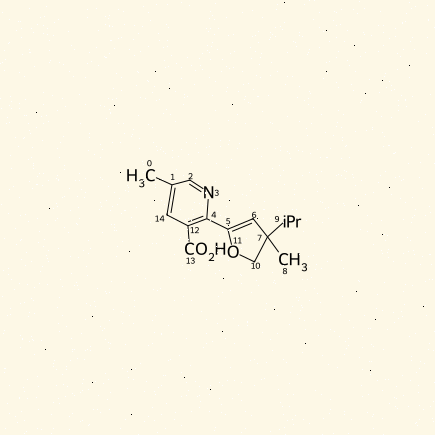 Cc1cnc(C2=CC(C)(C(C)C)CO2)c(C(=O)O)c1